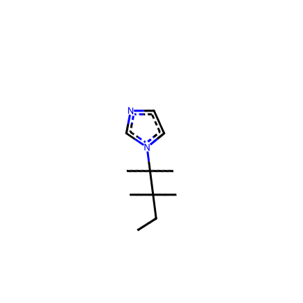 CCC(C)(C)C(C)(C)n1ccnc1